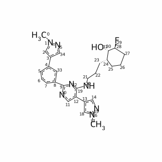 Cn1cc(-c2cccc(-c3ncc(-c4cnn(C)c4)c(NCCC[C@H]4CCC[C@H](F)[C@H]4O)n3)c2)cn1